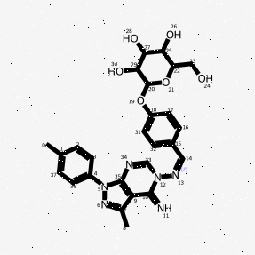 Cc1ccc(-n2nc(C)c3c(=N)n(/N=C\c4ccc(OC5OC(CO)C(O)C(O)C5O)cc4)cnc32)cc1